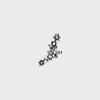 COC1(S(=O)(=O)CNC(C(=O)O)C2CCN(CCc3ccccc3)CC2)C=CC(c2ccccc2)C=C1